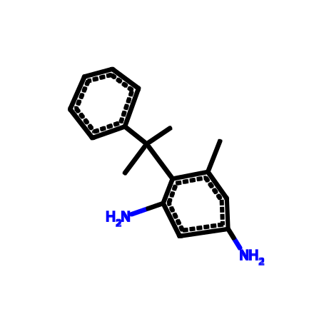 Cc1cc(N)cc(N)c1C(C)(C)c1ccccc1